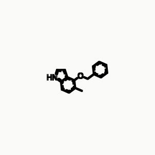 Cc1ccc2[nH]ccc2c1OCc1ccccc1